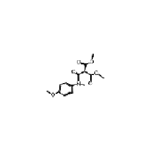 COC(=O)C(C(=O)OC)C(=O)N(C)c1ccc(OC)cc1